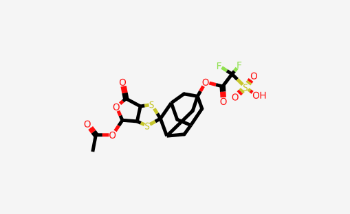 CC(=O)OC1OC(=O)C2SC3(SC12)C1CC2CC3CC(OC(=O)C(F)(F)S(=O)(=O)O)(C2)C1